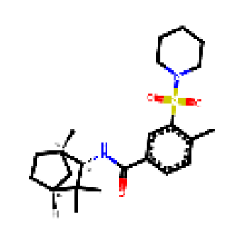 Cc1ccc(C(=O)N[C@@H]2C(C)(C)[C@@H]3CC[C@@]2(C)C3)cc1S(=O)(=O)N1CCCCC1